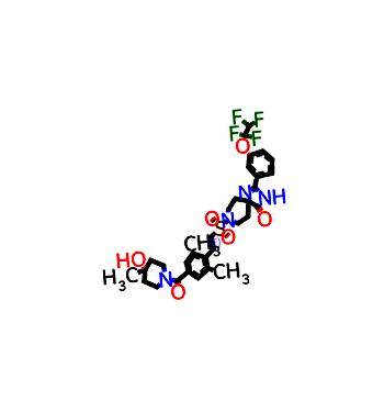 Cc1cc(C(=O)N2CCC(C)(O)CC2)cc(C)c1/C=C/S(=O)(=O)N1CCC2(CC1)N=C(c1cccc(OC(F)(F)C(F)F)c1)NC2=O